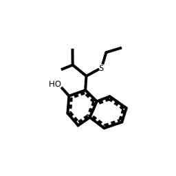 CCSC(c1c(O)ccc2ccccc12)C(C)C